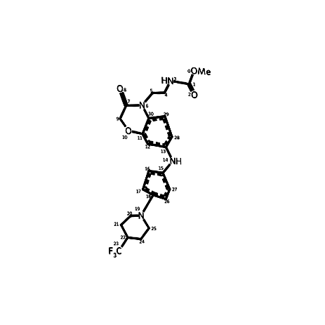 COC(=O)NCCN1C(=O)COc2cc(Nc3ccc(N4CCC(C(F)(F)F)CC4)cc3)ccc21